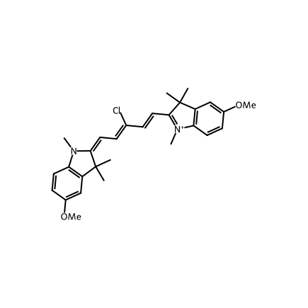 COc1ccc2c(c1)C(C)(C)C(/C=C/C(Cl)=C/C=C1/N(C)c3ccc(OC)cc3C1(C)C)=[N+]2C